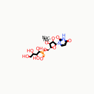 O=PP(OC[C@H]1O[C@@H](n2ccc(=O)[nH]c2=O)[C@H]([O-])[C@@H]1[O-])[C@@H](O)[C@@H](O)[C@H](O)CO.[Na+].[Na+]